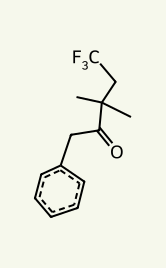 CC(C)(CC(F)(F)F)C(=O)Cc1ccccc1